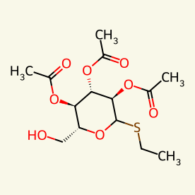 CCSC1O[C@H](CO)[C@@H](OC(C)=O)[C@H](OC(C)=O)[C@H]1OC(C)=O